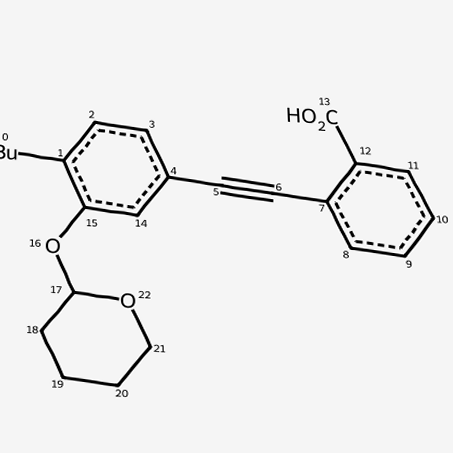 CC(C)(C)c1ccc(C#Cc2ccccc2C(=O)O)cc1OC1CCCCO1